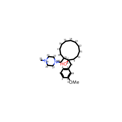 COc1cccc(CC2(O)CCCCCCCCCCC2CN2CCN(C)CC2)c1